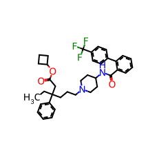 CCC(CCCN1CCC(NC(=O)c2ccccc2-c2ccc(C(F)(F)F)cc2)CC1)(CC(=O)OC1CCC1)c1ccccc1